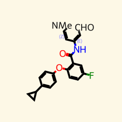 CN/C=C\C(=C/C=O)NC(=O)c1cc(F)ccc1Oc1ccc(C2CC2)cc1